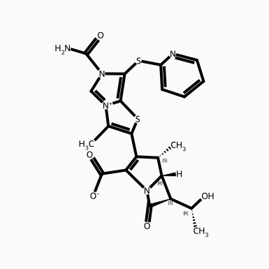 Cc1c(C2=C(C(=O)[O-])N3C(=O)[C@H]([C@@H](C)O)[C@H]3[C@H]2C)sc2c(Sc3ccccn3)n(C(N)=O)c[n+]12